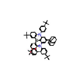 CC(C)(C)c1ccc(N2c3ccc(C(C)(C)C)cc3B3c4ccc([Si](C)(C)C)cc4N(c4ccc(C(C)(C)C)cc4-c4ccccc4)c4cc(C56CC7CC(CC(C7)C5)C6)cc2c43)cc1